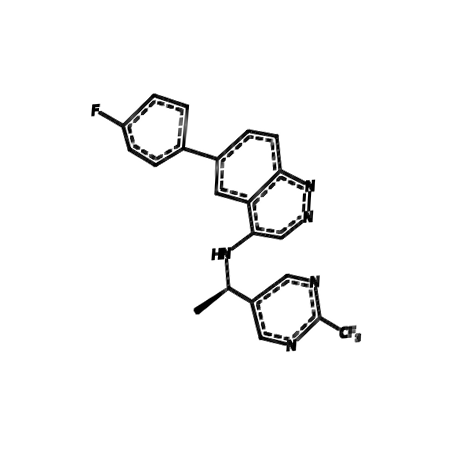 C[C@@H](Nc1cnnc2ccc(-c3ccc(F)cc3)cc12)c1cnc(C(F)(F)F)nc1